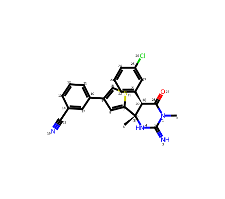 CN1C(=N)N[C@](C)(c2cc(-c3cccc(C#N)c3)cs2)[C@@H](c2cccc(Cl)c2)C1=O